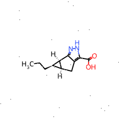 CCC[C@@H]1[C@@H]2Cc3c(n[nH]c3C(=O)O)[C@H]12